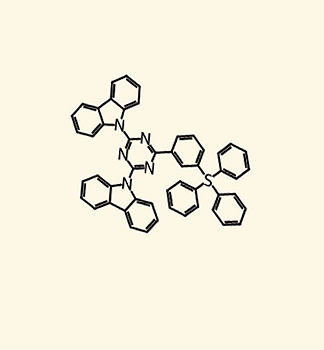 c1ccc(S(c2ccccc2)(c2ccccc2)c2cccc(-c3nc(-n4c5ccccc5c5ccccc54)nc(-n4c5ccccc5c5ccccc54)n3)c2)cc1